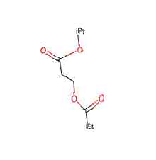 CCC(=O)OCCC(=O)OC(C)C